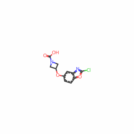 O=C(O)N1CC(Oc2ccc3oc(Cl)nc3c2)C1